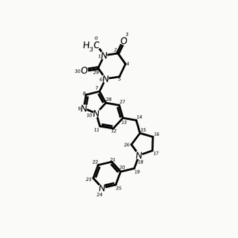 CN1C(=O)CCN(c2cnn3ccc(CC4CCN(Cc5cccnc5)C4)cc23)C1=O